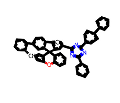 N#Cc1ccccc1-c1ccc2c(c1)C1(c3ccccc3Oc3ccccc31)c1cc(-c3nc(-c4ccccc4)nc(-c4ccc(-c5ccccc5)cc4)n3)ccc1-2